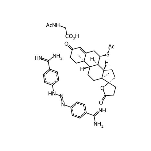 CC(=O)NCC(=O)O.CC(=O)S[C@@H]1CC2=CC(=O)CC[C@]2(C)[C@H]2CC[C@@]3(C)[C@@H](CC[C@@]34CCC(=O)O4)[C@H]12.N=C(N)c1ccc(/N=N/Nc2ccc(C(=N)N)cc2)cc1